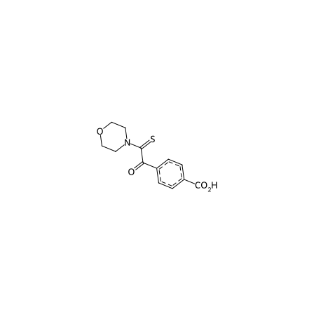 O=C(O)c1ccc(C(=O)C(=S)N2CCOCC2)cc1